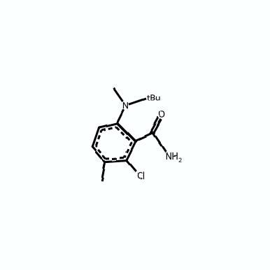 Cc1ccc(N(C)C(C)(C)C)c(C(N)=O)c1Cl